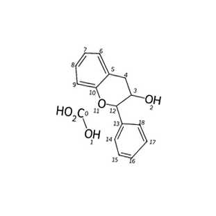 O=C(O)O.OC1Cc2ccccc2OC1c1ccccc1